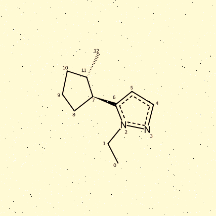 CCn1nccc1[C@H]1CCC[C@@H]1C